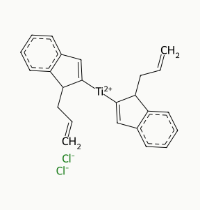 C=CCC1[C]([Ti+2][C]2=Cc3ccccc3C2CC=C)=Cc2ccccc21.[Cl-].[Cl-]